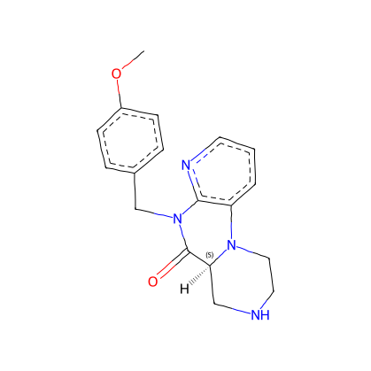 COc1ccc(CN2C(=O)[C@@H]3CNCCN3c3cccnc32)cc1